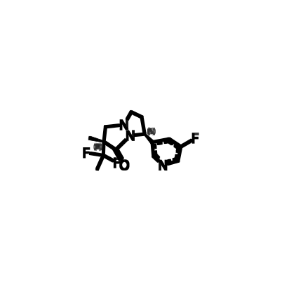 CC(F)(F)[C@]1(C)CN2CC[C@@H](c3cncc(F)c3)N2C1=O